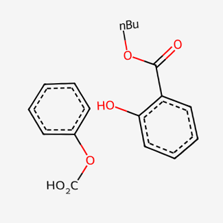 CCCCOC(=O)c1ccccc1O.O=C(O)Oc1ccccc1